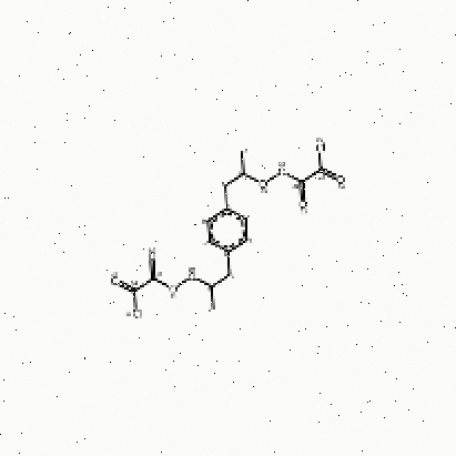 CC(Cc1ccc(CC(C)OOC(=O)C(=O)Cl)cc1)OOC(=O)C(=O)Cl